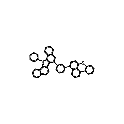 c1ccc(-n2c3c4ccccc4ccc3c3c(-c4cccc(-c5ccc6c7c(cccc57)-c5ccccc5S6)c4)cc4ccccc4c32)cc1